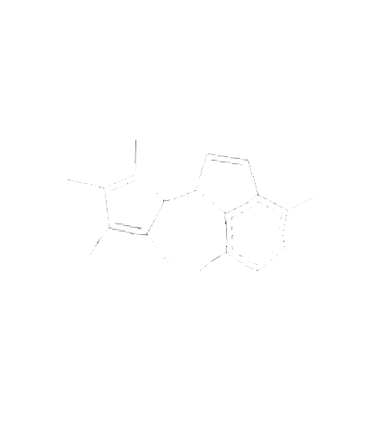 CC1=C(C)C(C)=C(C)[C]1C1C=Cc2c(C)ccc(C)c21